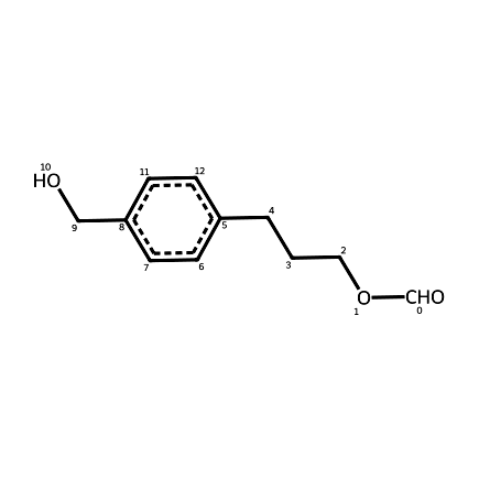 O=COCCCc1ccc(CO)cc1